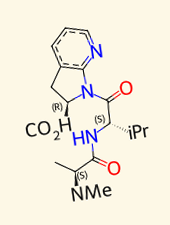 CN[C@@H](C)C(=O)N[C@H](C(=O)N1c2ncccc2C[C@@H]1C(=O)O)C(C)C